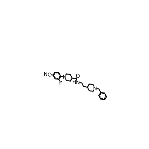 N#Cc1ccc(N2CCC(C(=O)NCCC3CCN(Cc4ccccc4)CC3)CC2)c(F)c1